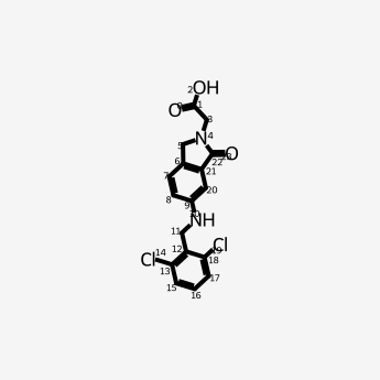 O=C(O)CN1Cc2ccc(NCc3c(Cl)cccc3Cl)cc2C1=O